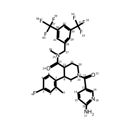 Cc1cc(F)ccc1C1CN(C(=O)c2ccc(N)nc2)CCC1C(=O)N(C)Cc1cc(C(F)(F)F)cc(C(F)(F)F)c1